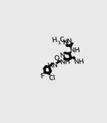 Cn1cc(Nc2cnc(NC(=O)NCc3ccc(F)c(Cl)c3)cc2C=N)cn1